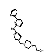 OCCN1CCN(Cc2ccc(Nc3cccc(-c4nccs4)n3)nc2)CC1